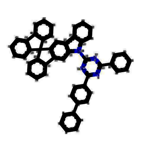 c1ccc(-c2ccc(-c3nc(-c4ccccc4)nc(-n4c5ccccc5c5cc6c(cc54)-c4ccccc4C64c5ccccc5-c5ccccc54)n3)cc2)cc1